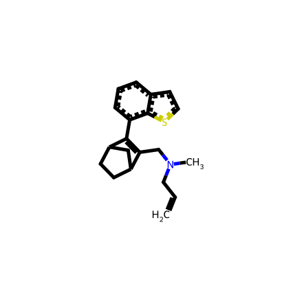 C=CCN(C)CC1=C(c2cccc3ccsc23)C2CCC1C2